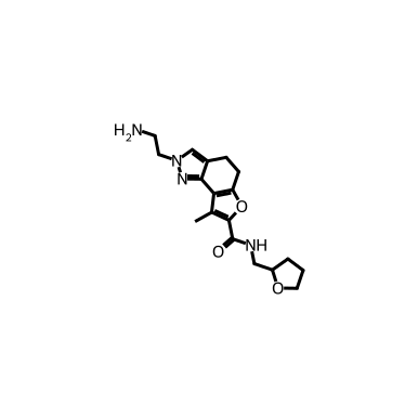 Cc1c(C(=O)NCC2CCCO2)oc2c1-c1nn(CCN)cc1CC2